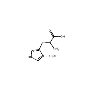 NC(Cc1c[nH]cn1)C(=O)O.[SeH2]